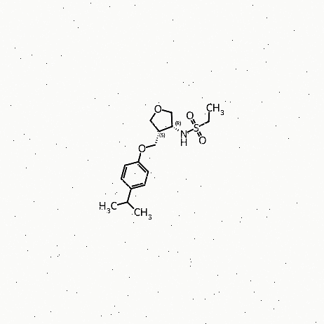 CCS(=O)(=O)N[C@H]1COC[C@H]1COc1ccc(C(C)C)cc1